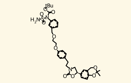 CC(C)(C)OC(=O)N(c1cccc(COCCOc2ccc(CCN3C[C@@H](c4ccc5c(c4)COC(C)(C)O5)OC3=O)cc2)c1)S(N)(=O)=O